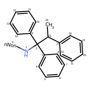 CCCCCCCCCNC(c1ccccc1)(c1ccccc1)C(C)c1ccccc1